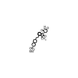 Cn1c(=O)n(C2CCC(=O)NC2=O)c2cccc(CCC3CCC4(CC3)CCN(C(=O)OC(C)(C)C)CC4)c21